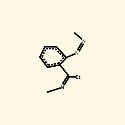 CC/C(=N/C)c1ccccc1/N=N\C